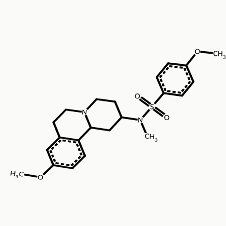 COc1ccc(S(=O)(=O)N(C)C2CCN3CCc4cc(OC)ccc4C3C2)cc1